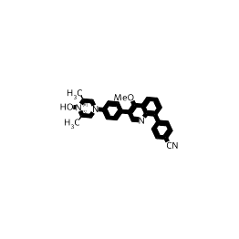 COc1c(-c2ccc(N3C[C@@H](C)N(O)[C@@H](C)C3)cc2)cnc2c(-c3ccc(C#N)cc3)cccc12